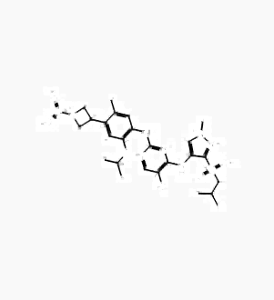 Cc1cc(Nc2ncc(Cl)c(Nc3cn(C)nc3S(=O)(=O)CC(C)C)n2)c(OC(C)C)cc1C1CN([SH](=O)=O)C1